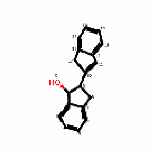 OC1c2ccccc2CC1C1=Cc2ccccc2C1